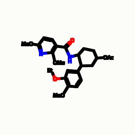 CCOc1cc(C2CC(OC(C)=O)CCC2NC(=O)c2ccc(OC)nc2OC)ccc1OC